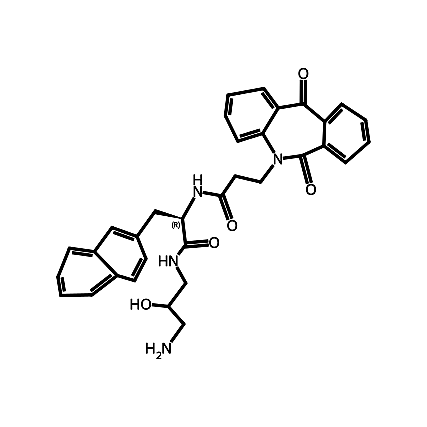 NCC(O)CNC(=O)[C@@H](Cc1ccc2ccccc2c1)NC(=O)CCn1c(=O)c2ccccc2c(=O)c2ccccc21